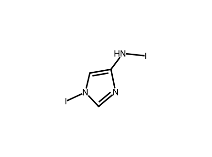 INc1cn(I)cn1